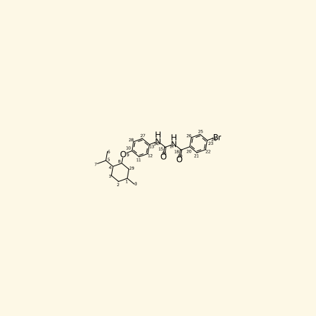 CC1CCC(C(C)C)C(Oc2ccc(NC(=O)NC(=O)c3ccc(Br)cc3)cc2)C1